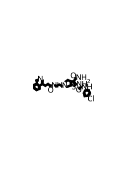 NC(=O)c1c(NC(=O)Nc2ccc(Cl)cc2)sc2c1CCN(CCCNC(=O)CCc1cncc3ccccc13)C2